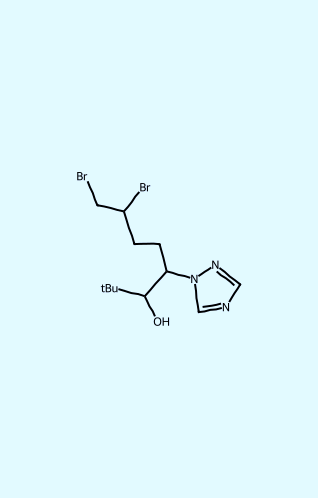 CC(C)(C)C(O)C(CCC(Br)CBr)n1cncn1